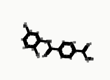 COC(=O)c1ccc(C(=O)Nc2cc(Br)cnc2Cl)cn1